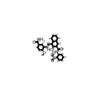 COc1ccc(C(N)=O)cc1/N=N/c1c(O)c(C(=O)Nc2ccccc2[N+](=O)[O-])cc2ccccc12